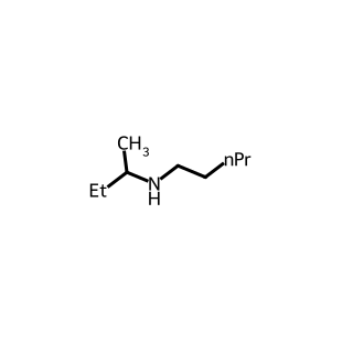 [CH2]CCCCNC(C)CC